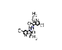 CCN1C(=O)/C(=N\N=C2/C(=O)N(C)c3ncc(Cl)cc32)c2cc(Cl)cnc21